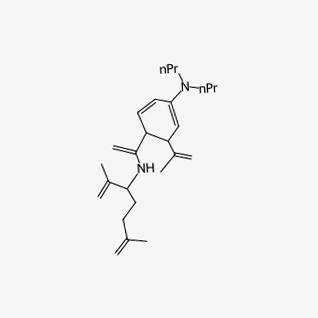 C=C(C)CCC(NC(=C)C1C=CC(N(CCC)CCC)=CC1C(=C)C)C(=C)C